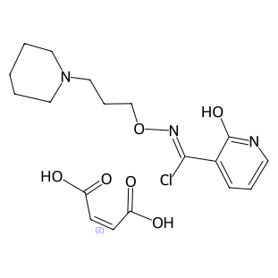 O=C(O)/C=C\C(=O)O.Oc1ncccc1C(Cl)=NOCCCN1CCCCC1